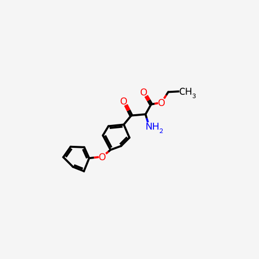 CCOC(=O)C(N)C(=O)c1ccc(Oc2ccccc2)cc1